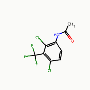 CC(=O)Nc1ccc(Cl)c(C(F)(F)F)c1Cl